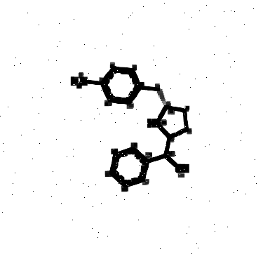 Nc1ccc(C[C@@H]2CCC(C(O)c3ccccc3)N2)cc1